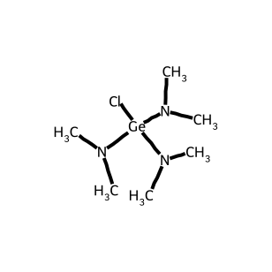 C[N](C)[Ge]([Cl])([N](C)C)[N](C)C